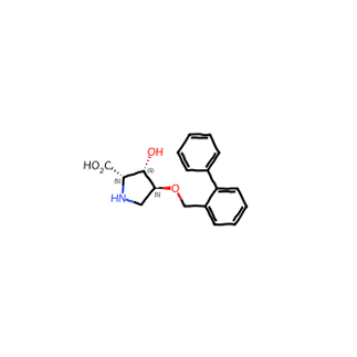 O=C(O)[C@H]1NC[C@H](OCc2ccccc2-c2ccccc2)[C@H]1O